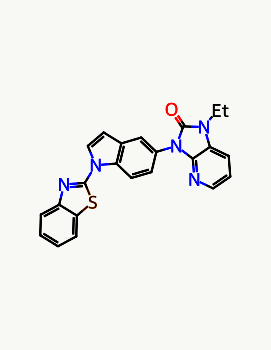 CCn1c(=O)n(-c2ccc3c(ccn3-c3nc4ccccc4s3)c2)c2ncccc21